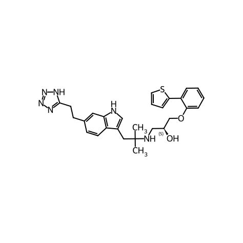 CC(C)(Cc1c[nH]c2cc(CCc3nnn[nH]3)ccc12)NC[C@H](O)COc1ccccc1-c1cccs1